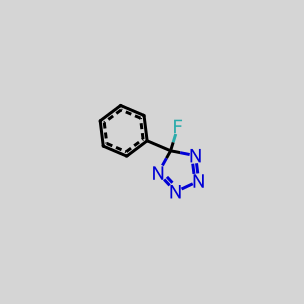 FC1(c2ccccc2)N=NN=N1